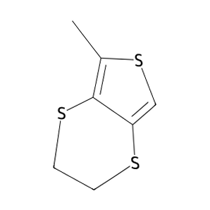 Cc1scc2c1SCCS2